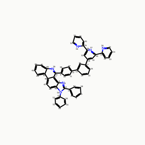 c1ccc(-c2nc3c4c(-c5ccc(-c6cccc(-c7cc(-c8ccccn8)nc(-c8ccccn8)c7)c6)cc5)nc5ccccc5c4ccc3n2-c2ccccc2)cc1